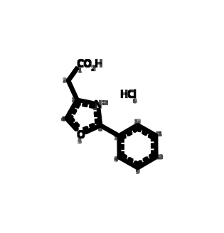 Cl.O=C(O)Cc1coc(-c2ccccc2)n1